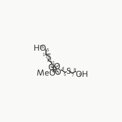 COP(=O)(OCCSCCO)OCCSCCO